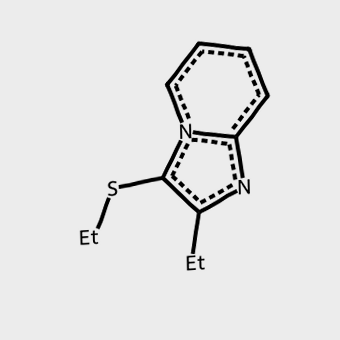 CCSc1c(CC)nc2ccccn12